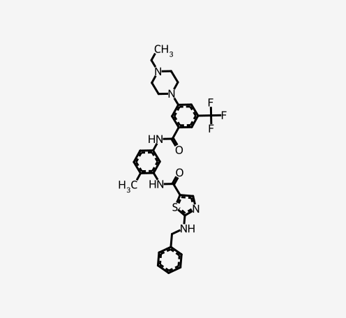 CCN1CCN(c2cc(C(=O)Nc3ccc(C)c(NC(=O)c4cnc(NCc5ccccc5)s4)c3)cc(C(F)(F)F)c2)CC1